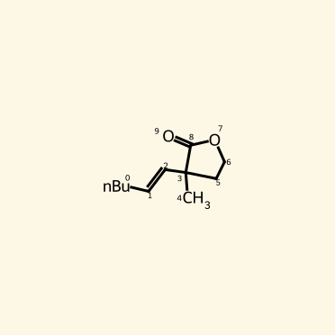 CCCCC=CC1(C)CCOC1=O